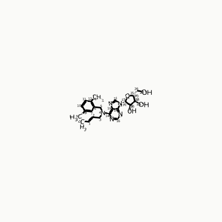 CC=CCN(Cc1cc(C)ccc1C)c1ncnc2c1ncn2[C@@H]1O[C@H](CO)[C@@H](O)[C@H]1O